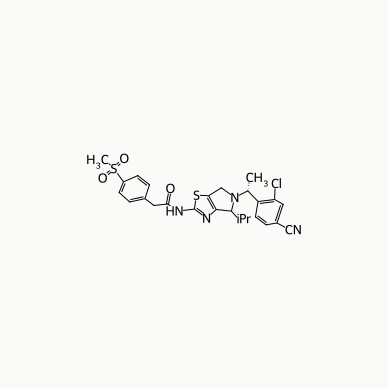 CC(C)C1c2nc(NC(=O)Cc3ccc(S(C)(=O)=O)cc3)sc2CN1[C@H](C)c1ccc(C#N)cc1Cl